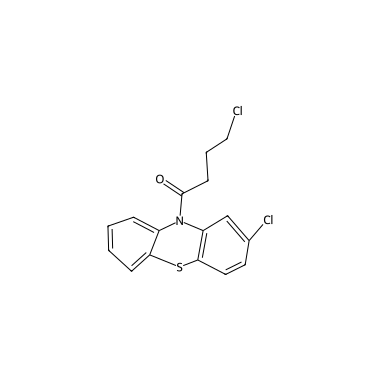 O=C(CCCCl)N1c2ccccc2Sc2ccc(Cl)cc21